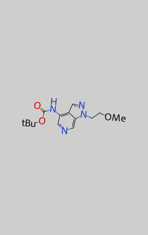 COCCn1ncc2c(NC(=O)OC(C)(C)C)cncc21